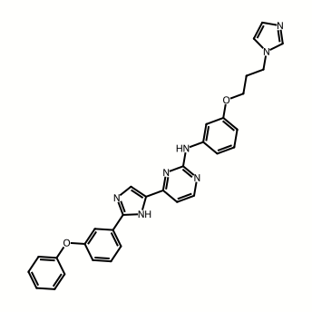 c1ccc(Oc2cccc(-c3ncc(-c4ccnc(Nc5cccc(OCCCn6ccnc6)c5)n4)[nH]3)c2)cc1